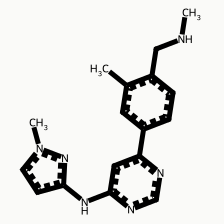 CNCc1ccc(-c2cc(Nc3ccn(C)n3)ncn2)cc1C